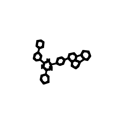 c1ccc(-c2cccc(-c3nc(-c4ccccc4)nc(-c4ccc(-c5ccc6c7c(cccc57)-c5ccccc5-6)cc4)n3)c2)cc1